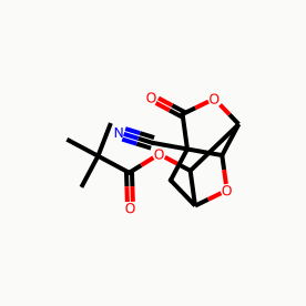 CC(C)(C)C(=O)OC1C2CC3(C#N)C(=O)OC1C3O2